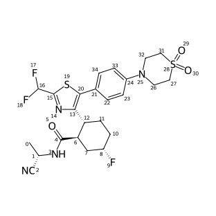 C[C@@H](C#N)NC(=O)[C@@H]1C[C@@H](F)CC[C@H]1c1nc(C(F)F)sc1-c1ccc(N2CCS(=O)(=O)CC2)cc1